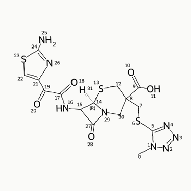 Cn1nnnc1SCC1(C(=O)O)CS[C@@H]2C(NC(=O)C(=O)c3csc(N)n3)C(=O)N2C1